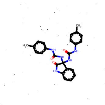 Cc1ccc(NC(=O)NC2(NC(=O)Nc3ccc(C)cc3)C(=O)Nc3ccccc32)cc1